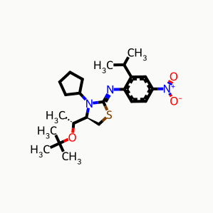 CC(C)c1cc([N+](=O)[O-])ccc1N=C1SC[C@@H]([C@@H](C)OC(C)(C)C)N1C1CCCC1